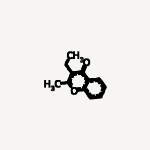 CCc1c(C)oc2ccccc2c1=O